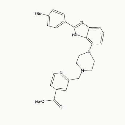 COC(=O)c1ccnc(CN2CCN(c3cccc4nc(-c5ccc(C(C)(C)C)cc5)[nH]c34)CC2)c1